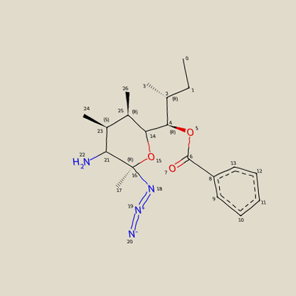 CC[C@@H](C)[C@@H](OC(=O)c1ccccc1)C1O[C@@](C)(N=[N+]=[N-])C(N)[C@@H](C)[C@H]1C